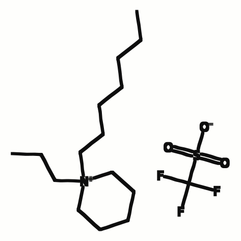 CCCCCCC[N+]1(CCC)CCCCC1.O=S(=O)([O-])C(F)(F)F